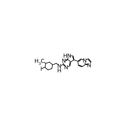 CC1CC(CNc2ncc3c(-c4ccc5nccn5c4)c[nH]c3n2)CCC1I